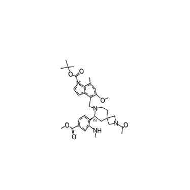 CNc1cc(C(=O)OC)ccc1[C@@H]1CC2(CCN1Cc1c(OC)cc(C)c3c1ccn3C(=O)OC(C)(C)C)CN(C(C)=O)C2